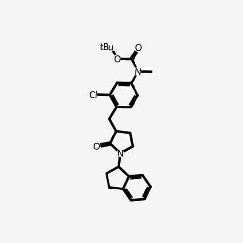 CN(C(=O)OC(C)(C)C)c1ccc(CC2CCN(C3CCc4ccccc43)C2=O)c(Cl)c1